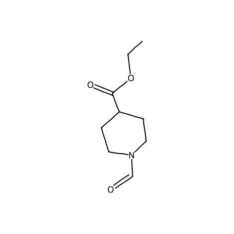 CCOC(=O)C1CCN(C=O)CC1